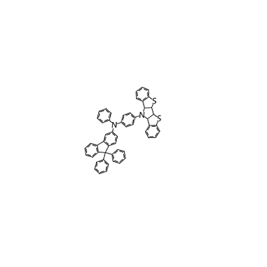 c1ccc(N(c2ccc(N3C4c5ccccc5SC4C4Sc5ccccc5C43)cc2)c2ccc3c(c2)-c2ccccc2C3(c2ccccc2)c2ccccc2)cc1